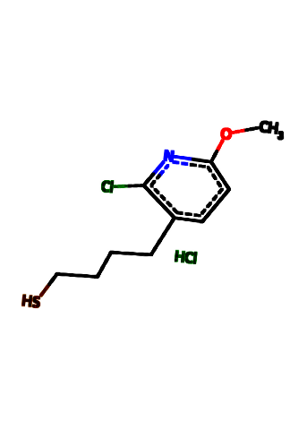 COc1ccc(CCCCS)c(Cl)n1.Cl